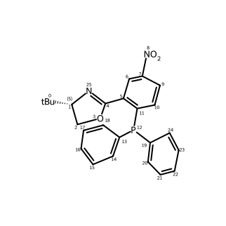 CC(C)(C)[C@H]1COC(c2cc([N+](=O)[O-])ccc2P(c2ccccc2)c2ccccc2)=N1